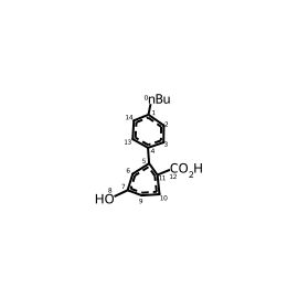 CCCCc1ccc(-c2cc(O)ccc2C(=O)O)cc1